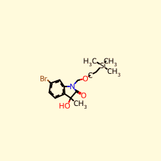 CC1(O)C(=O)N(COCC[Si](C)(C)C)c2cc(Br)ccc21